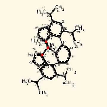 CC(C)c1cc(C(C)C)c(-c2cccc(-c3c(C(C)C)cc(C(C)C)cc3C(C)C)c2P(c2cccs2)c2cccs2)c(C(C)C)c1